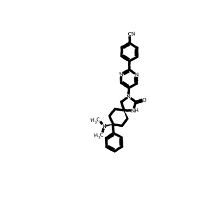 CN(C)[C@]1(c2ccccc2)CC[C@@]2(CC1)CN(c1cnc(-c3ccc(C#N)cc3)nc1)C(=O)N2